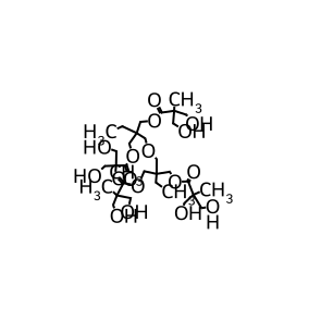 CCC(COCC(CC)(COC(=O)C(C)(CO)CO)COC(=O)C(C)(CO)CO)(COC(=O)C(C)(CO)CO)COC(=O)C(C)(CO)CO